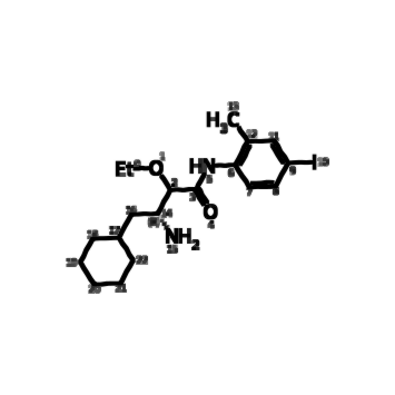 CCOC(C(=O)Nc1ccc(I)cc1C)[C@H](N)CC1CCCCC1